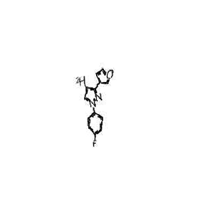 [2H]c1cn(-c2ccc(F)cc2)nc1-c1ccoc1